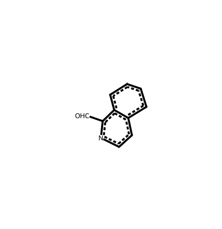 O=Cc1nccc2cc[c]cc12